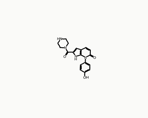 O=C(c1cc2ccc(=O)n(-c3ccc(O)cc3)c2[nH]1)N1CCNCC1